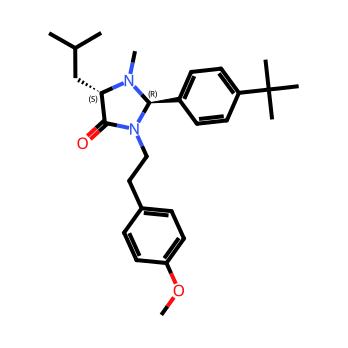 COc1ccc(CCN2C(=O)[C@H](CC(C)C)N(C)[C@H]2c2ccc(C(C)(C)C)cc2)cc1